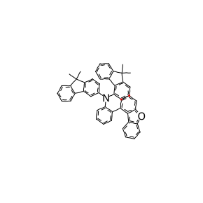 CC1(C)c2ccccc2-c2cc(N(c3ccccc3-c3cccc4oc5ccccc5c34)c3cccc4c3-c3ccccc3C4(C)C)ccc21